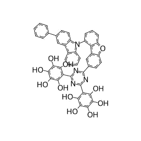 Oc1c(O)c(O)c(-c2nc(-c3ccc4oc5cccc(-n6c7ccccc7c7cc(-c8ccccc8)ccc76)c5c4c3)nc(-c3c(O)c(O)c(O)c(O)c3O)n2)c(O)c1O